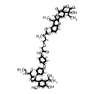 CCNC(=O)c1nnc(-c2cc(C(C)C)c(O)cc2O)n1-c1ccc(Oc2ccc(NC(=O)COCCN(C)C(=O)Oc3ccc4nc5c(c(CC)c4c3)Cn3c-5cc4c(c3=O)COC(=O)[C@]4(O)CC)cc2)cc1